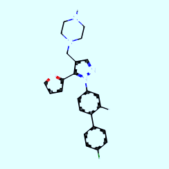 CCN1CCN(Cc2cnn(-c3ccc(-c4ccc(F)cc4)c(C)c3)c2-c2ccco2)CC1